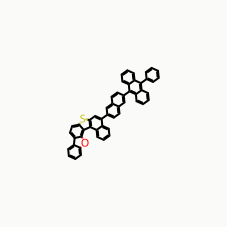 c1ccc(-c2c3ccccc3c(-c3ccc4cc(-c5cc6sc7ccc8c9ccccc9oc8c7c6c6ccccc56)ccc4c3)c3ccccc23)cc1